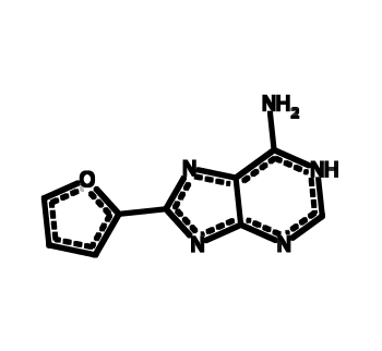 Nc1[nH]cnc2nc(-c3ccco3)nc1-2